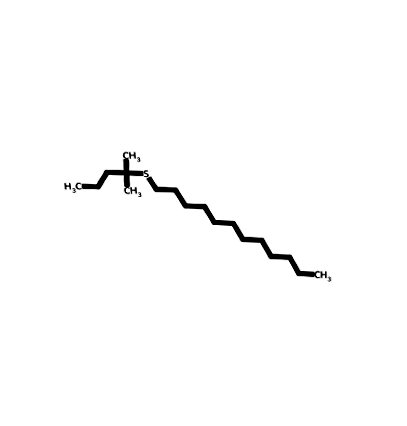 CCCCCCCCCCCCSC(C)(C)CCC